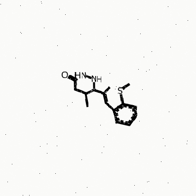 CSc1ccccc1/C=C(\C)C1NNC(=O)CC1C